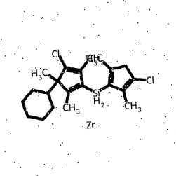 CC1=C([SiH2]C2=C(C)C(C)(C3CCCCC3)C(Cl)=C2C)C(C)=C(Cl)C1.[Zr]